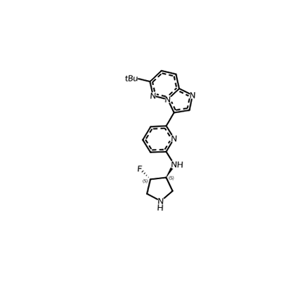 CC(C)(C)c1ccc2ncc(-c3cccc(N[C@H]4CNC[C@@H]4F)n3)n2n1